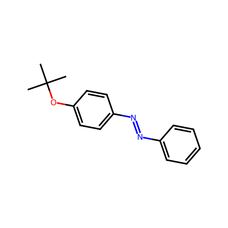 CC(C)(C)Oc1ccc(N=Nc2ccccc2)cc1